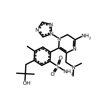 Cc1cc(C2=C(CN(C)C)N=C(N)CN2n2cncn2)c(S(N)(=O)=O)cc1CC(C)(C)O